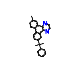 Cc1ccc2c3ccc(C(C)(C)c4ccccc4)cc3c3nccnc3c2c1